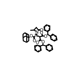 CC1CC(=O)N1N(C(=O)OC12CC3CC(CC(C3)C1)C2)C(C(=O)OC(c1ccccc1)c1ccccc1)C(=O)OC(c1ccccc1)c1ccccc1